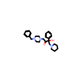 O=C(CN1CCN(Cc2ccccc2)CC1)C(O)(CN1CCCCC1)c1ccccc1